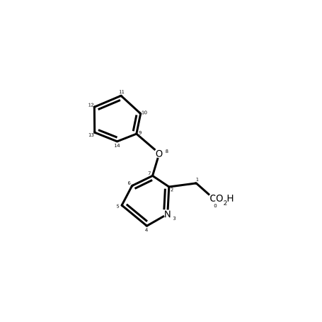 O=C(O)Cc1ncccc1Oc1ccccc1